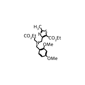 CCOC(=O)CN(Cc1ccc(OC)cc1OC)Cc1nc(C)sc1C(=O)OCC